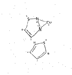 C1=C[N]2[Cu][N]2S1.c1ccsc1